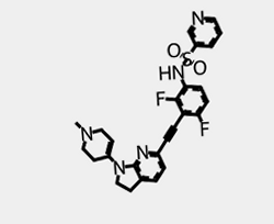 CN1CC=C(N2CCc3ccc(C#Cc4c(F)ccc(NS(=O)(=O)c5cccnc5)c4F)nc32)CC1